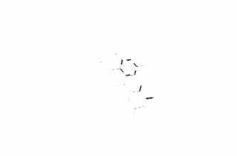 CC1CN([C@@H](C)c2cc(F)cc(Cl)c2CO)C(=O)C(=O)N1C